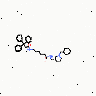 O=C(CCCCCNC(=O)CC(c1ccccc1)(c1ccccc1)c1ccccc1)NC[C@H]1CCCN(CC2CCCCC2)C1